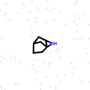 C1CC23CC1CC2N3